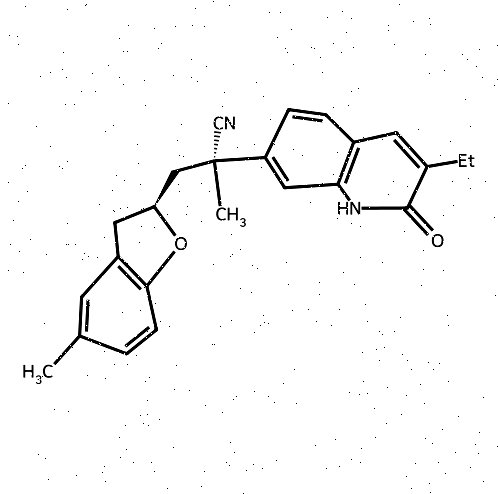 CCc1cc2ccc([C@](C)(C#N)C[C@@H]3Cc4cc(C)ccc4O3)cc2[nH]c1=O